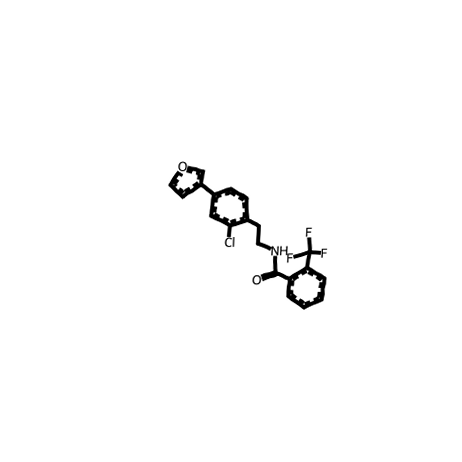 O=C(NCCc1ccc(-c2ccoc2)cc1Cl)c1ccccc1C(F)(F)F